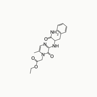 CCOC(=O)Cn1c(C)cnc(NC(Cc2ccccc2)C(N)=O)c1=O